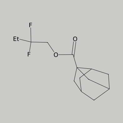 CCC(F)(F)COC(=O)C12CC3CC(CC1C3)C2